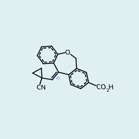 N#CC1(/C=C2/c3ccc(C(=O)O)cc3COc3ccccc32)CC1